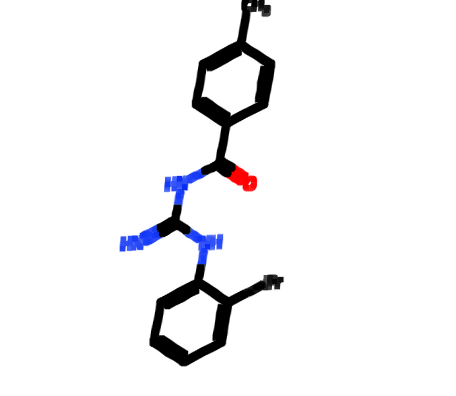 Cc1ccc(C(=O)NC(=N)Nc2ccccc2C(C)C)cc1